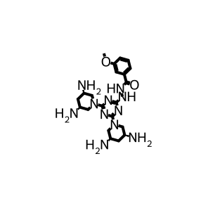 COc1cccc(C(=O)NNc2nc(N3C[C@H](N)C[C@H](N)C3)nc(N3C[C@H](N)C[C@H](N)C3)n2)c1